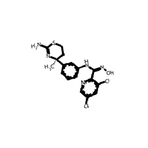 C[C@@]1(c2cccc(N/C(=N/O)c3ncc(Cl)cc3Cl)c2)CCSC(N)=N1